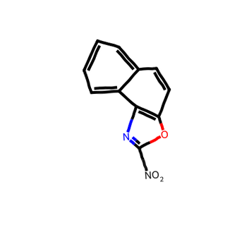 O=[N+]([O-])c1nc2c(ccc3ccccc32)o1